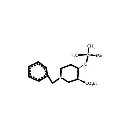 CCOC(=O)[C@H]1CN(Cc2ccccc2)CC[C@@H]1O[Si](C)(C)C(C)(C)C